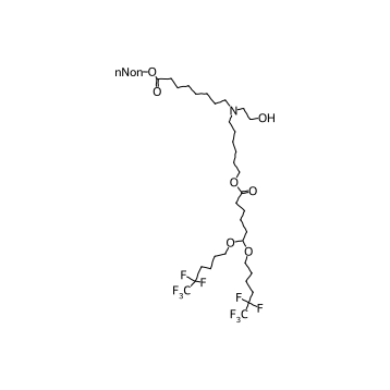 CCCCCCCCCOC(=O)CCCCCCCN(CCO)CCCCCCOC(=O)CCCCC(OCCCCC(F)(F)C(F)(F)F)OCCCCC(F)(F)C(F)(F)F